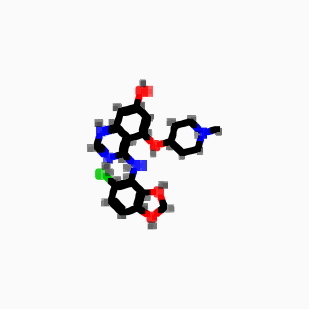 CN1CCC(Oc2cc(O)cc3ncnc(Nc4c(Cl)ccc5c4OCO5)c23)CC1